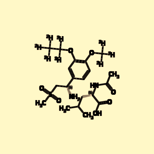 CC(=O)N[C@@H](CC(C)C)C(=O)O.[2H]C([2H])([2H])Oc1ccc([C@H](N)CS(C)(=O)=O)cc1OC([2H])([2H])C([2H])([2H])[2H]